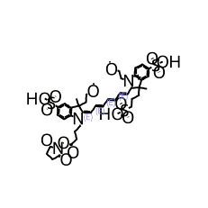 COCC[N+]1=C(/C=C/C=C/C=C/C=C2/N(CCCC(=O)ON3C(=O)CCC3=O)c3ccc(S(=O)(=O)O)cc3C2(C)CCOC)C(C)(CCCS(=O)(=O)O)c2cc(S(=O)(=O)O)ccc21